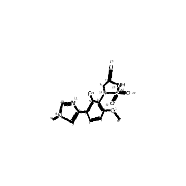 COc1ccc(-c2cn(C)cn2)c(F)c1N1CC(=O)NS1(=O)=O